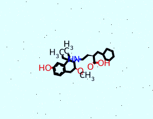 CCC1(CC)c2cc(O)ccc2C[C@H](OC)[C@@H]1NCC[C@@H](CC1CCCCC1)C(=O)O